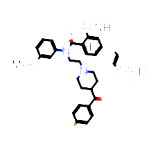 COc1cccc(N(CCN2CCC(C(=O)c3ccc(F)cc3)CC2)C(=O)c2ccccc2NC(C)=O)c1.O=C(O)C=CC(=O)O